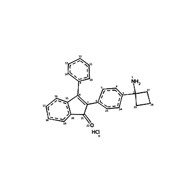 Cl.NC1(c2ccc(C3=C(c4ccccc4)c4ccccc4C3=O)cc2)CCC1